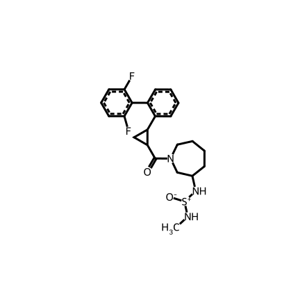 CN[S+]([O-])NC1CCCCN(C(=O)C2CC2c2ccccc2-c2c(F)cccc2F)C1